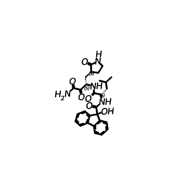 CC(C)C[C@H](NC(=O)C1(O)c2ccccc2-c2ccccc21)C(=O)N[C@@H](C[C@@H]1CCNC1=O)C(=O)C(N)=O